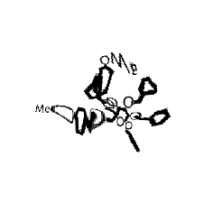 C=CCOC1OC(COCc2ccc(OC)cc2)(COCc2ccc(OC)cc2)[C@@H](OCc2ccccc2)[C@H](OCc2ccccc2)[C@H]1OCc1ccccc1